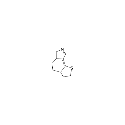 C1=NCC2CCC3CCSC3=C12